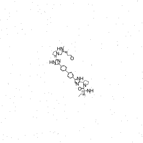 CC[C@@H](C)[C@H](NC)C(=O)N1CCCC1c1ncc(-c2ccc(-c3ccc(-c4c[nH]c([C@@H]5CCCN5C[C@@H](NC)[C@H](C)CC=O)n4)cc3)cc2)[nH]1